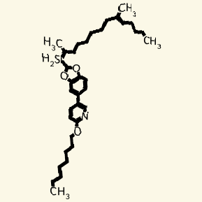 CCCCCCCCOc1ccc(-c2ccc3c(c2)OC([SiH2]C(C)CCCCCCC(C)CCCCC)O3)cn1